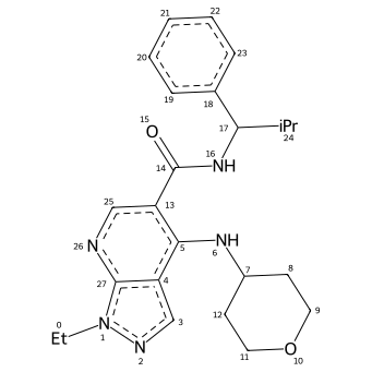 CCn1ncc2c(NC3CCOCC3)c(C(=O)NC(c3ccccc3)C(C)C)cnc21